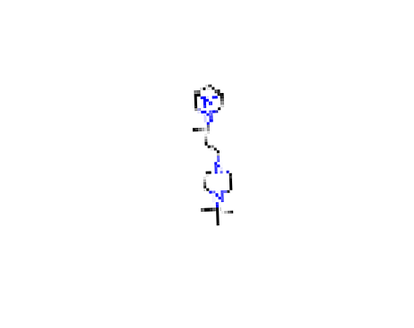 CN1C2CC1CN(C(C)(C)CCN1CCN(C(C)(C)C)CC1)C2